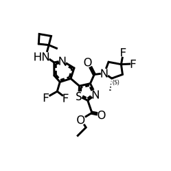 CCOC(=O)c1nc(C(=O)N2CC(F)(F)C[C@@H]2C)c(-c2cnc(NC3(C)CCC3)cc2C(F)F)s1